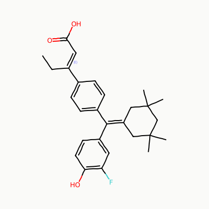 CC/C(=C\C(=O)O)c1ccc(C(=C2CC(C)(C)CC(C)(C)C2)c2ccc(O)c(F)c2)cc1